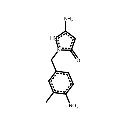 Cc1cc(Cn2[nH]c(N)cc2=O)ccc1[N+](=O)[O-]